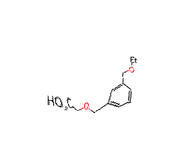 CCOCc1cccc(COCC(=O)O)c1